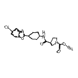 CC(C)(C)OC(=O)N1CCC(C(=O)NC2CCC(c3nc4cc(Cl)ccc4o3)CC2)C1